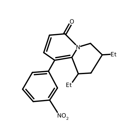 CCC1CC(CC)c2c(-c3cccc([N+](=O)[O-])c3)ccc(=O)n2C1